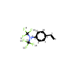 C=Cc1ccc(N(C(F)(F)F)C(F)(F)F)cc1